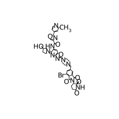 Cc1cc(-c2nc(C(=O)Nc3cc4oc(N5CCN(Cc6cc(Br)c7c(c6)C(=O)N(C6CCC(=O)NC6=O)C7=O)CC5)nc4nc3N3CCC(O)C3)co2)ccn1